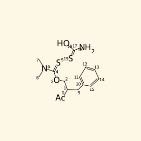 CC(=O)C(COC(=S)N(C)C)Cc1ccccc1.NC(O)=S